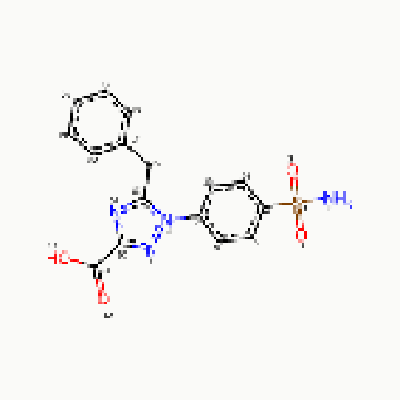 NS(=O)(=O)c1ccc(-n2nc(C(=O)O)nc2Cc2ccccc2)cc1